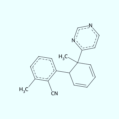 Cc1cccc(C2C=CC=CC2(C)c2ccncn2)c1C#N